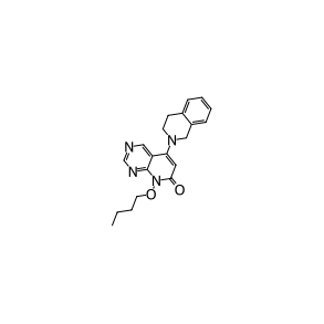 CCCCOn1c(=O)cc(N2CCc3ccccc3C2)c2cncnc21